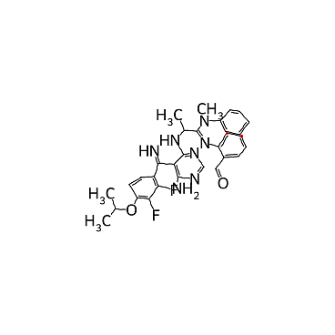 CC(C)Oc1ccc(C(=N)c2c(N)ncnc2NC(C)/C(=N/c2ccccc2C=O)N(C)c2ccccc2)c(F)c1F